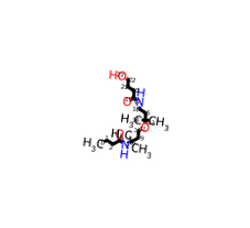 CCCC(=O)NC(C)(C)CCOC(C)(C)CCNC(=O)CCCO